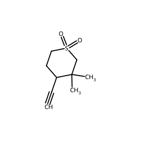 C#CC1CCS(=O)(=O)CC1(C)C